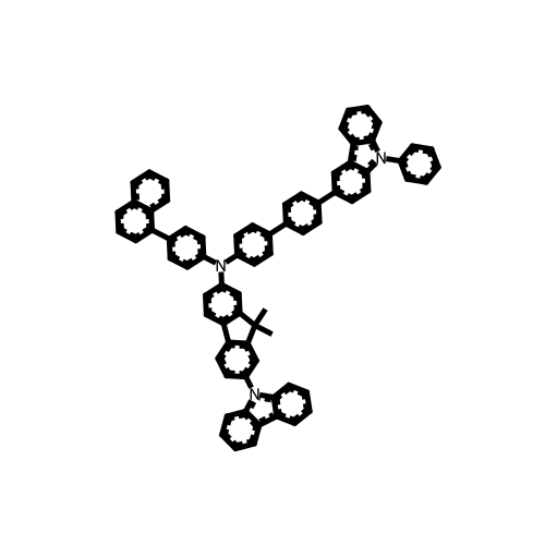 CC1(C)c2cc(N(c3ccc(-c4ccc(-c5ccc6c(c5)c5ccccc5n6-c5ccccc5)cc4)cc3)c3ccc(-c4cccc5ccccc45)cc3)ccc2-c2ccc(-n3c4ccccc4c4ccccc43)cc21